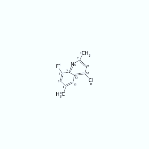 Cc1cc(F)c2nc(C)cc(Cl)c2c1